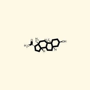 [CH2]C(=O)[C@H]1CC[C@H]2C3CC[C@@H]4C[C@H](O)CC[C@]4(C)C3CC[C@]12C